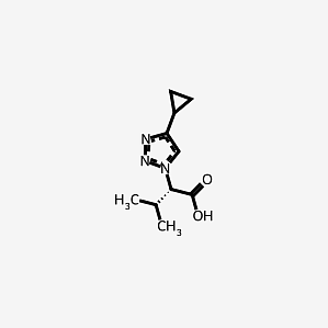 CC(C)[C@@H](C(=O)O)n1cc(C2CC2)nn1